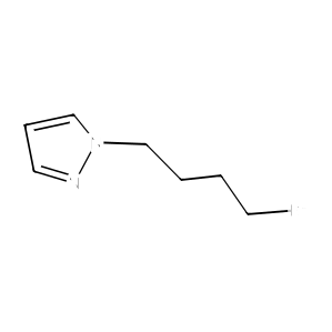 BrCCCCn1cccn1